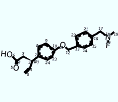 C=C[C@@H](CC(=O)O)c1ccc(OCc2ccc(CN(C)F)cc2)cc1